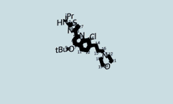 CC(C)Nc1nc(-c2cc(OC(C)(C)C)c3ccc(CCCN4CCOCC4)c(Cl)c3n2)cs1